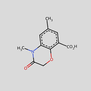 Cc1cc(C(=O)O)c2c(c1)N(C)C(=O)CO2